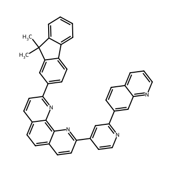 CC1(C)c2ccccc2-c2ccc(-c3ccc4ccc5ccc(-c6ccnc(-c7ccc8cccnc8c7)c6)nc5c4n3)cc21